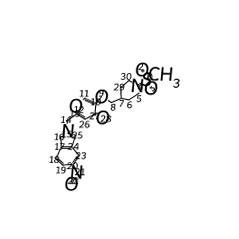 CS(=O)(=O)N1CCC(COc2coc(CN3Cc4ccc(N=O)cc4C3)cc2=O)CC1